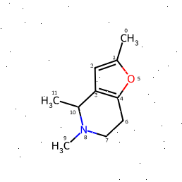 Cc1cc2c(o1)CCN(C)C2C